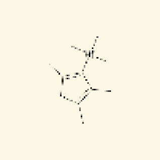 CC1=C(C)[C]([Hf]([CH3])([CH3])[CH3])=C(C)C1